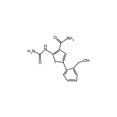 NC(=O)Nc1sc(-c2ccccc2CO)cc1C(N)=O